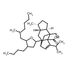 CCCCC1CC(C23C[C@@H]4[C@H](C)CC[C@H]4C4(C=O)CC2C=C(C(C)C)C34C(=O)O)OC1CN(C)CCCC